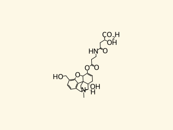 CN1CCC23c4c5ccc(CO)c4OC2C(OC(=O)CCNC(=O)C[C@H](O)C(=O)O)=CC[C@@]3(O)[C@H]1C5